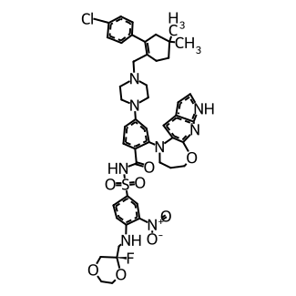 CC1(C)CCC(CN2CCN(c3ccc(C(=O)NS(=O)(=O)c4ccc(NC[C@@]5(F)COCCO5)c([N+](=O)[O-])c4)c(N4CCCOc5nc6[nH]ccc6cc54)c3)CC2)=C(c2ccc(Cl)cc2)C1